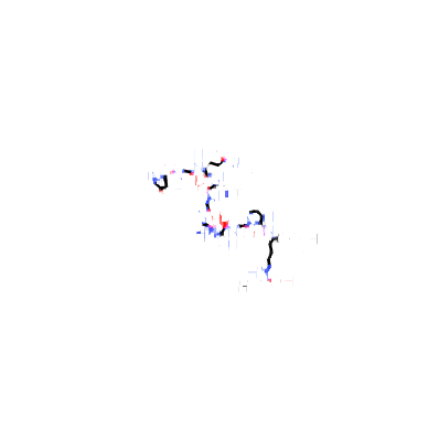 CC(C)C[C@H](NC(=O)CNC(=O)[C@H](CC(C)C)NC(=O)[C@H](CCC(N)=O)NC(=O)CNC(=O)[C@@H]1C[C@@H](O)CN1)C(=O)N[C@@H](C)C(=O)NCC(=O)N1CCC[C@H]1C(=O)N[C@@H](CCCCNC(C)O)C(=O)O